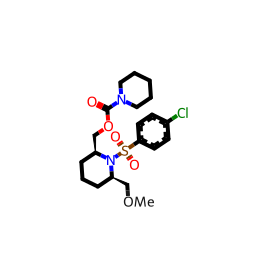 COC[C@H]1CCC[C@@H](COC(=O)N2CCCCC2)N1S(=O)(=O)c1ccc(Cl)cc1